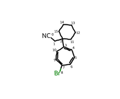 N#CCC1(C2=CC=CC(Br)=C=C2)CCCCC1